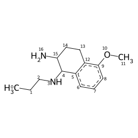 CCCNC1c2cccc(OC)c2CCC1N